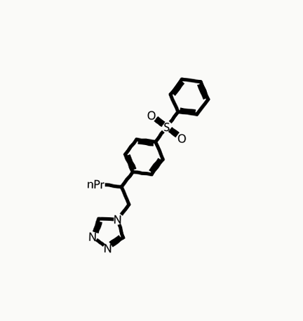 CCCC(Cn1cnnc1)c1ccc(S(=O)(=O)c2ccccc2)cc1